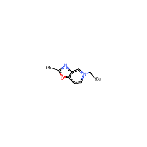 CC(C)(C)C[n+]1ccc2oc(C(C)(C)C)nc2c1